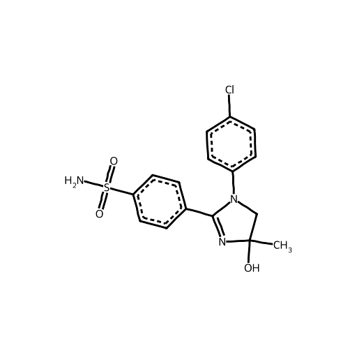 CC1(O)CN(c2ccc(Cl)cc2)C(c2ccc(S(N)(=O)=O)cc2)=N1